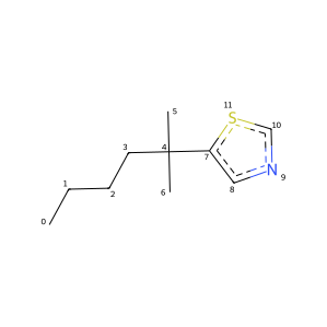 CCCCC(C)(C)c1cncs1